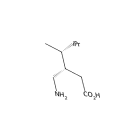 CC(C)[C@@H](C)[C@@H](CN)CC(=O)O